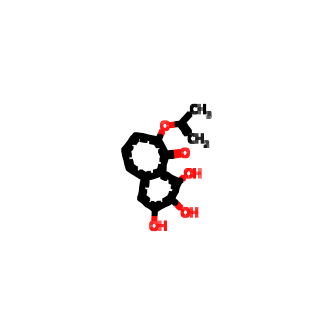 C=C(C)Oc1cccc2cc(O)c(O)c(O)c2c1=O